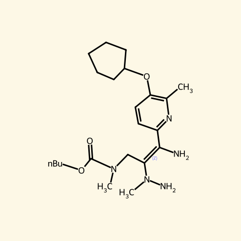 CCCCOC(=O)N(C)C/C(=C(/N)c1ccc(OC2CCCCC2)c(C)n1)N(C)N